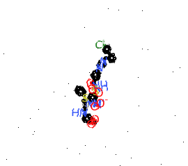 O=C(NS(=O)(=O)c1ccc(N[C@H](CCNc2ccc3c(c2)OCO3)CSc2ccccc2)c([N+](=O)[O-])c1)c1ccc(N2CCN(Cc3ccccc3-c3ccc(Cl)cc3)CC2)cc1